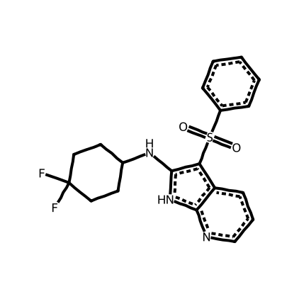 O=S(=O)(c1ccccc1)c1c(NC2CCC(F)(F)CC2)[nH]c2ncccc12